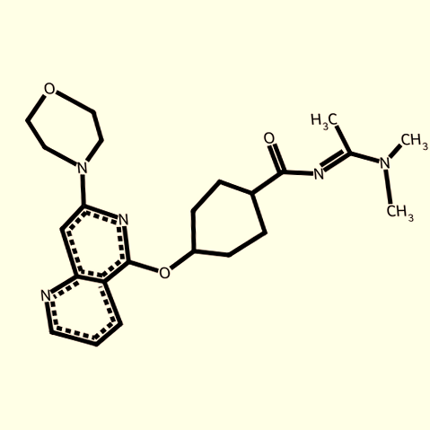 C/C(=N\C(=O)C1CCC(Oc2nc(N3CCOCC3)cc3ncccc23)CC1)N(C)C